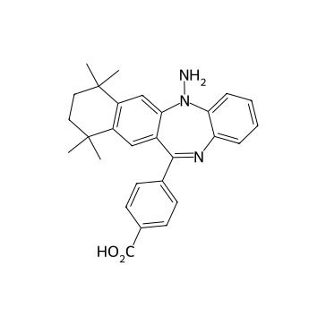 CC1(C)CCC(C)(C)c2cc3c(cc21)C(c1ccc(C(=O)O)cc1)=Nc1ccccc1N3N